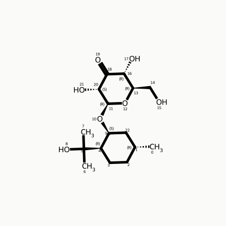 C[C@@H]1CC[C@@H](C(C)(C)O)[C@@H](O[C@@H]2O[C@H](CO)[C@@H](O)C(=O)[C@H]2O)C1